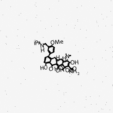 COc1ccc(-c2ccc(O)c3c2C[C@H]2C[C@H]4[C@H](N(C)C)C(O)=C(C(N)=O)C(C)(O)[C@@]4(O)C(O)=C2C3=O)cc1CNC(C)C